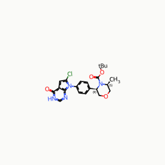 C[C@H]1COC[C@@H](c2ccc(-n3c(Cl)cc4c(=O)[nH]cnc43)cc2)N1C(=O)OC(C)(C)C